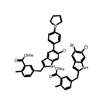 COC(=O)c1cc(Cc2cc3cc(-c4ccc(N5CCCC5)cc4)c(Cl)cc3[nH]2)ccc1C.COC(=O)c1cc(Cc2cc3cc(Br)c(Cl)cc3[nH]2)ccc1C